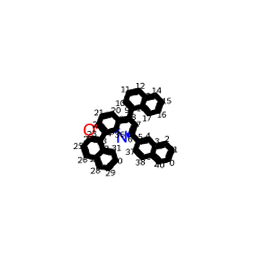 c1ccc2cc(-c3cc(-c4cccc5ccccc45)c4ccc5oc6ccc7ccccc7c6c5c4n3)ccc2c1